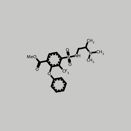 COC(=O)c1ccc(S(=O)(=O)NCC(C)N(C)C)c(C(F)(F)F)c1Oc1ccccc1